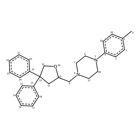 Cc1ccc(N2CCN(CC3CC(c4ccccc4)(c4ccccc4)CO3)CC2)cc1